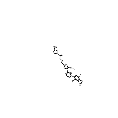 Cc1nc(COCC(=O)N2CCC(O)C2)sc1-c1cccc(-c2cc(F)c3nn[nH]c3c2F)n1